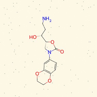 NCC[C@@H](O)[C@H]1CN(c2ccc3c(c2)OCCO3)C(=O)O1